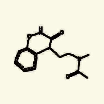 CC(=O)N(C)CCC1C(=O)NOc2ccccc21